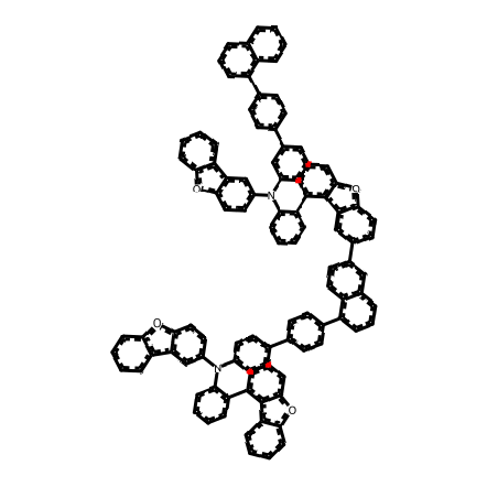 c1cc(-c2ccc(-c3cccc4ccccc34)cc2)cc(N(c2ccc3oc4ccccc4c3c2)c2ccccc2-c2cccc3oc4ccc(-c5ccc6c(-c7ccc(-c8ccc(N(c9ccc%10oc%11ccccc%11c%10c9)c9ccccc9-c9cccc%10oc%11ccccc%11c9%10)cc8)cc7)cccc6c5)cc4c23)c1